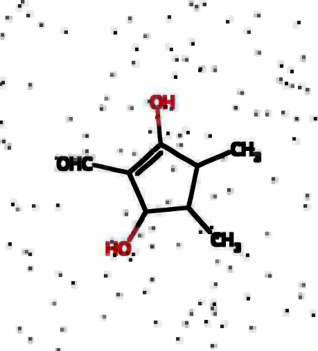 CC1C(O)=C(C=O)C(O)C1C